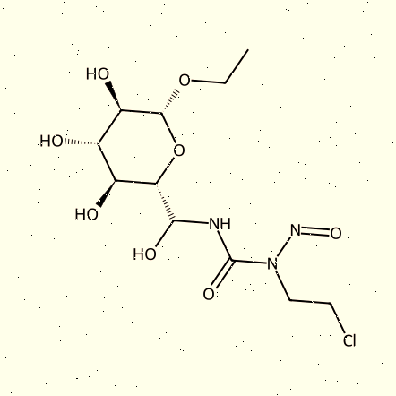 CCO[C@@H]1O[C@H](C(O)NC(=O)N(CCCl)N=O)[C@@H](O)[C@H](O)[C@H]1O